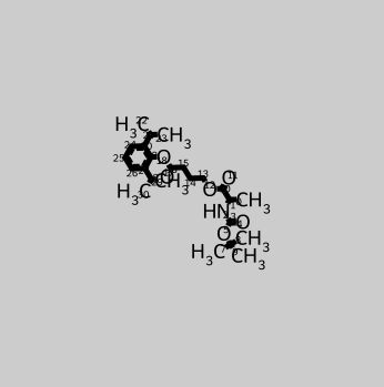 CC(NC(=O)OC(C)(C)C)C(=O)OCCCC(=O)Oc1c(C(C)C)cccc1C(C)C